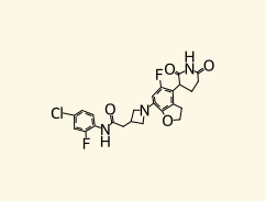 O=C1CCC(c2c(F)cc(N3CC(CC(=O)Nc4ccc(Cl)cc4F)C3)c3c2CCO3)C(=O)N1